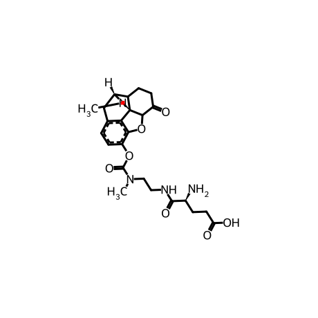 CN(CCNC(=O)[C@@H](N)CCC(=O)O)C(=O)Oc1ccc2c3c1OC1C(=O)CCC4[C@@H](C2)N(C)C[C@]314